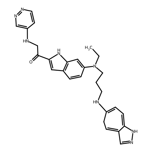 CCN(CCCNC1=CC=c2[nH]ncc2=CC1)c1ccc2cc(C(=O)CNc3ccnnc3)[nH]c2c1